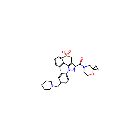 Cc1cccc2c1-c1c(c(C(=O)N3CCOC4(CC4)C3)nn1-c1ccc(CN3CCCCC3)cc1)CS2(=O)=O